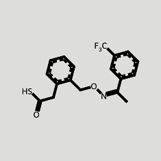 C/C(=N/OCc1ccccc1CC(=O)S)c1cccc(C(F)(F)F)c1